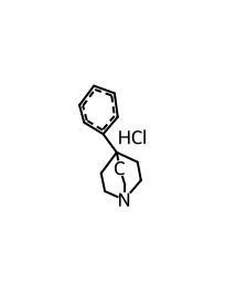 Cl.c1ccc(C23CCN(CC2)CC3)cc1